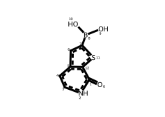 O=c1[nH]ccc2cc(B(O)O)sc12